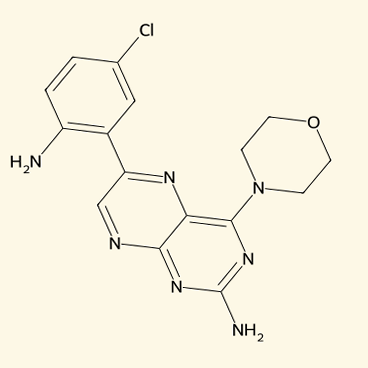 Nc1nc(N2CCOCC2)c2nc(-c3cc(Cl)ccc3N)cnc2n1